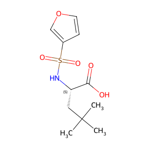 CC(C)(C)C[C@H](NS(=O)(=O)c1ccoc1)C(=O)O